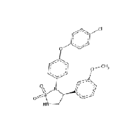 COc1cccc([C@H]2CNS(=O)(=O)N2c2ccc(Oc3ccc(Cl)cc3)cc2)c1